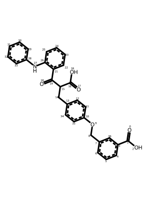 O=C(O)c1cccc(COc2ccc(CC(C(=O)O)C(=O)c3ccccc3Nc3ccccc3)cc2)c1